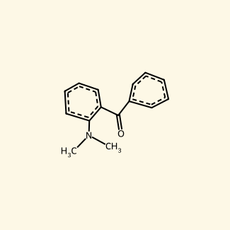 CN(C)c1ccccc1C(=O)c1ccccc1